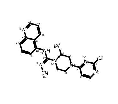 CC(C)C1CN(c2ccnc(Cl)n2)CCN1/C(=N\C#N)Nc1cccc2ncccc12